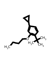 CCCCOc1cc(C2CC2)ccc1C(C)(C)C